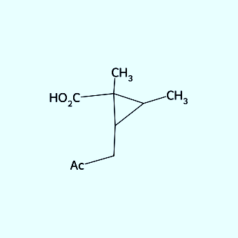 CC(=O)CC1C(C)C1(C)C(=O)O